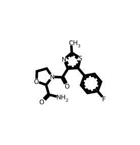 Cc1nc(C(=O)N2CCOC2C(N)=O)c(-c2ccc(F)cc2)s1